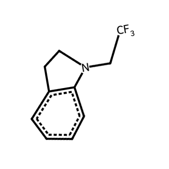 FC(F)(F)CN1CCc2ccccc21